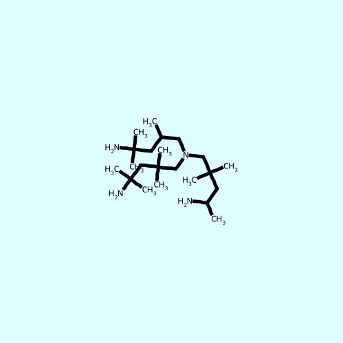 CC(N)CC(C)(C)CN(CC(C)CC(C)(C)N)CC(C)(C)CC(C)(C)N